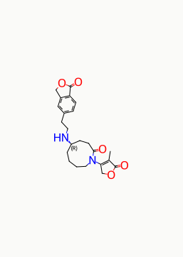 CC1=C(N2CCCC[C@@H](NCCc3ccc4c(c3)COC4=O)CCC2=O)COC1=O